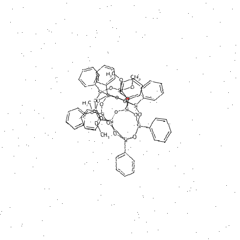 CO[Si]1(OC)O[Si]2(c3ccccc3)O[Si]3(c4ccccc4)O[Si]4(c5ccccc5)O[Si](OC)(OC)O[Si]5(c6ccccc6)O[Si](c6ccccc6)(O[Si](c6ccccc6)(O1)O[Si](c1ccccc1)(O5)O[Si](c1ccccc1)(O2)O4)O3